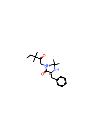 CCC(C)(C)C(=O)CNC(=O)[C@H](Cc1ccccc1)NC(C)(C)C